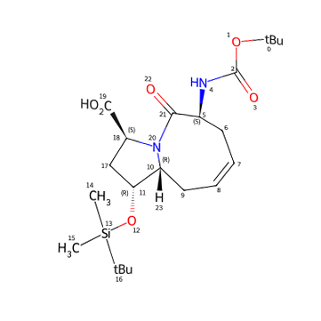 CC(C)(C)OC(=O)N[C@H]1CC=CC[C@@H]2[C@H](O[Si](C)(C)C(C)(C)C)C[C@@H](C(=O)O)N2C1=O